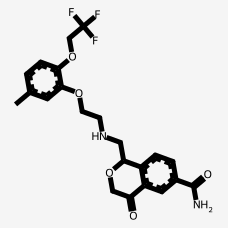 Cc1ccc(OCC(F)(F)F)c(OCCNCC2OCC(=O)c3cc(C(N)=O)ccc32)c1